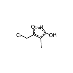 Oc1noc(CCl)c1I